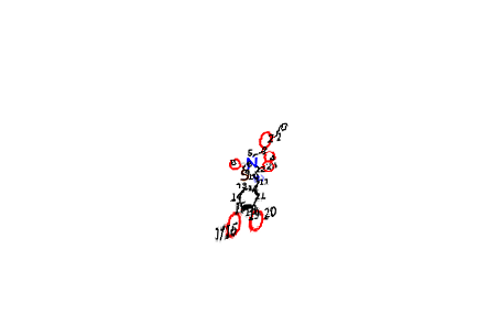 CCOC(=O)CN1C(=O)S/C(=C\c2ccc(OC)c(OC)c2)C1=O